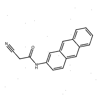 N#CCC(=O)Nc1ccc2cc3ccccc3cc2c1